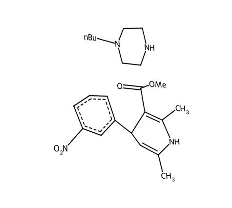 CCCCN1CCNCC1.COC(=O)C1=C(C)NC(C)=CC1c1cccc([N+](=O)[O-])c1